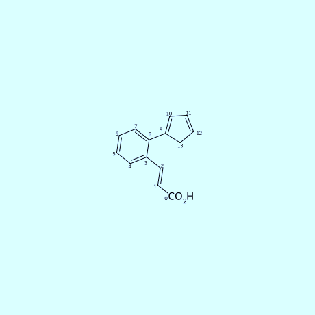 O=C(O)C=Cc1ccccc1C1=CC=CC1